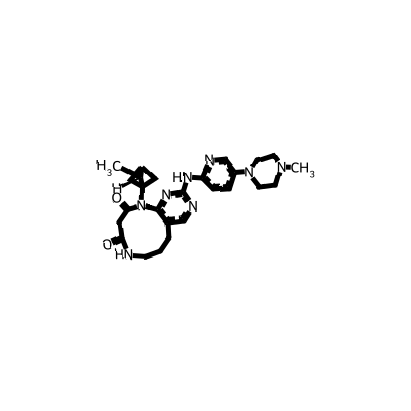 C[C@@H]1C2CC1(N1C(=O)CC(=O)NCCCc3cnc(Nc4ccc(N5CCN(C)CC5)cn4)nc31)C2